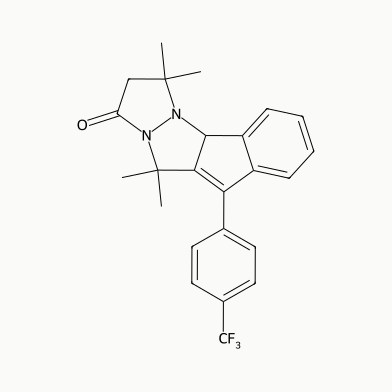 CC1(C)CC(=O)N2N1C1C(=C(c3ccc(C(F)(F)F)cc3)c3ccccc31)C2(C)C